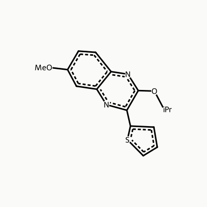 COc1ccc2nc(OC(C)C)c(-c3cccs3)nc2c1